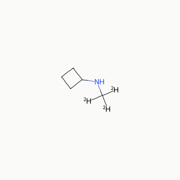 [2H]C([2H])([2H])NC1CCC1